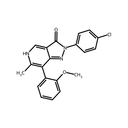 COc1ccccc1-c1c2nn(-c3ccc(Cl)cc3)c(=O)c-2c[nH]c1C